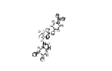 CC(C)(C)C(Cn1cnc2cc(Cl)c(Cl)cc21)OC(=O)Oc1ccc([N+](=O)[O-])cc1